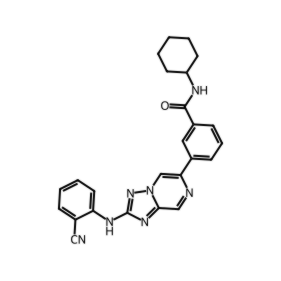 N#Cc1ccccc1Nc1nc2cnc(-c3cccc(C(=O)NC4CCCCC4)c3)cn2n1